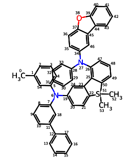 Cc1cccc(N(c2cccc(-c3ccccc3)c2)c2ccc3c(c2)-c2c(N(c4ccccc4)c4ccc5oc6ccccc6c5c4)cccc2[Si]3(C)C)c1